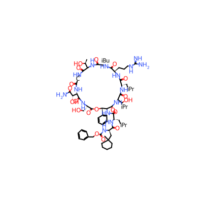 CC[C@H](C)C1NC(=O)[C@@H](CCCNC(=N)N)NC(=O)[C@H](CC(C)C)NC(=O)[C@H]([C@H](O)C(C)C)NC(=O)[C@@H](NC(=O)[C@H](CC(C)C)NC(=O)[C@@H](CC2(C)CCCCC2)NC(=O)OCc2ccccc2)[C@@H](c2ccccc2)OC(=O)[C@H](CO)NC(=O)[C@H]([C@H](O)C(N)=O)NC(=O)CNC(=O)C([C@H](C)O)NC1=O